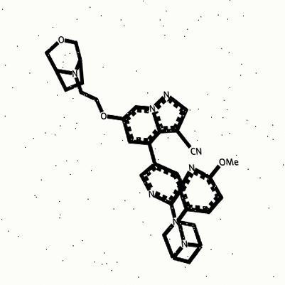 COc1ccc(CN2C3CC2CN(c2ccc(-c4cc(OCCN5C6CCC5COC6)cn5ncc(C#N)c45)cn2)C3)cn1